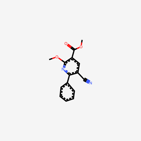 COC(=O)c1cc(C#N)c(-c2ccccc2)nc1OC